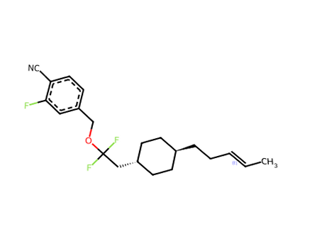 C/C=C/CC[C@H]1CC[C@H](CC(F)(F)OCc2ccc(C#N)c(F)c2)CC1